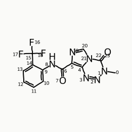 Cn1nnc2c(C(=O)Nc3ccccc3C(F)(F)F)ncn2c1=O